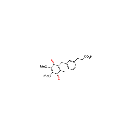 COC1=C(OC)C(=O)C(Cc2cccc(CCC(=O)O)c2)=C(C)C1=O